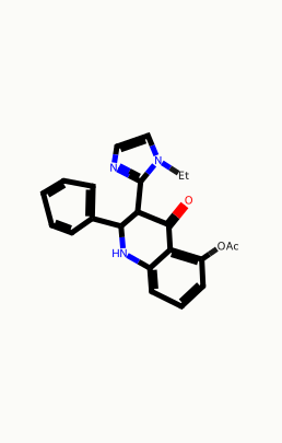 CCn1ccnc1C1C(=O)c2c(cccc2OC(C)=O)NC1c1ccccc1